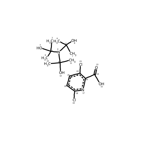 CC(C)(O)N(C(C)(C)O)C(C)(C)O.O=C(O)c1nc(Cl)ccc1Cl